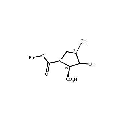 C[C@H]1CN(C(=O)OC(C)(C)C)[C@H](C(=O)O)C1O